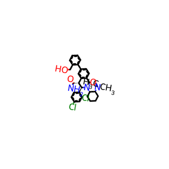 CN(C)[C@H]1CCCC[C@@H]1N1C(=O)c2ccc(-c3ccccc3CO)cc2[C@@H](C(N)=O)[C@@H]1c1ccc(Cl)cc1Cl